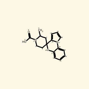 CC1CC2(CCN1C(=O)O)Oc1ccccc1-n1cccc12